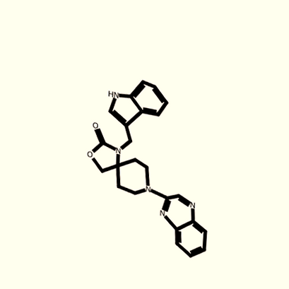 O=C1OCC2(CCN(c3cnc4ccccc4n3)CC2)N1Cc1c[nH]c2ccccc12